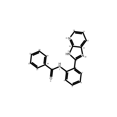 O=C(Nc1ccccc1-c1nc2cccnc2[nH]1)c1ccccc1